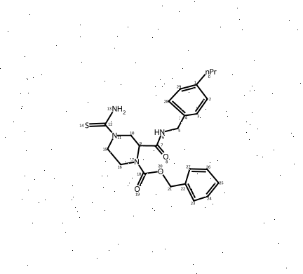 CCCc1ccc(CNC(=O)C2CN(C(N)=S)CCN2C(=O)OCc2ccccc2)cc1